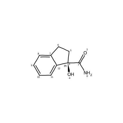 NC(=O)[C@@]1(O)CCc2ccccc21